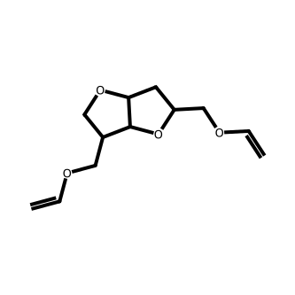 C=COCC1CC2OCC(COC=C)C2O1